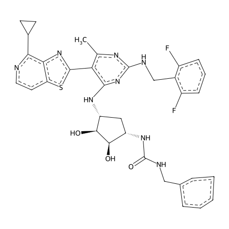 Cc1nc(NCc2c(F)cccc2F)nc(N[C@@H]2C[C@H](NC(=O)NCc3ccccc3)[C@@H](O)[C@H]2O)c1-c1nc2c(C3CC3)nccc2s1